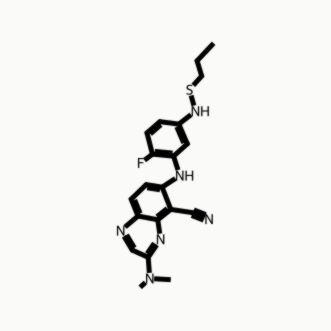 CCCSNc1ccc(F)c(Nc2ccc3ncc(N(C)C)nc3c2C#N)c1